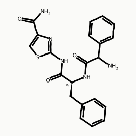 NC(=O)c1csc(NC(=O)[C@H](Cc2ccccc2)NC(=O)C(N)c2ccccc2)n1